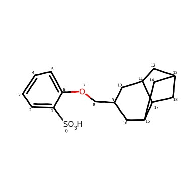 O=S(=O)(O)c1ccccc1OCC1CC2CC3CC(C1)C2C3